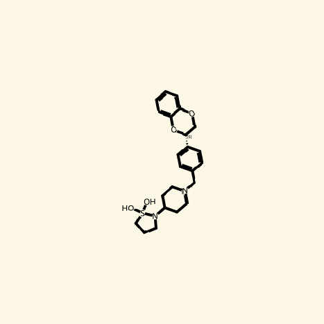 OS1(O)CCCN1C1CCN(Cc2ccc([C@H]3COc4ccccc4O3)cc2)CC1